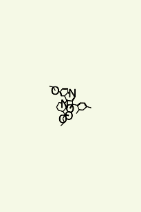 CCOC(=O)C1CCCN(C2C(C(=O)C3=CC=C(C)CC3C)=CN=C3C=CC(OCC)=CC32)C1